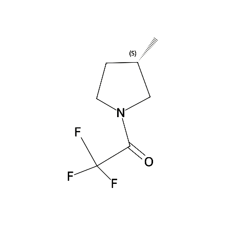 C[C@H]1CCN(C(=O)C(F)(F)F)C1